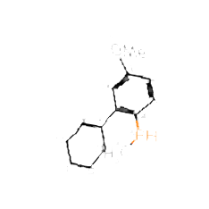 COc1ccc(PC)c(C2CCCCC2)c1